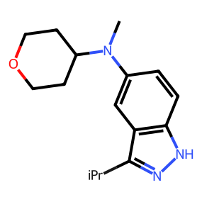 CC(C)c1n[nH]c2ccc(N(C)C3CCOCC3)cc12